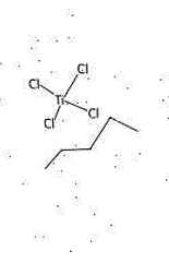 CCCCC.[Cl][Ti]([Cl])([Cl])[Cl]